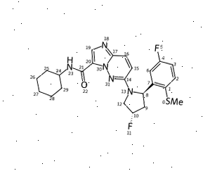 CSc1ccc(F)cc1[C@H]1C[C@H](F)CN1c1ccc2ncc(C(=O)NC3CCCCC3)n2n1